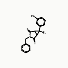 CCC1(c2cccc(Br)c2)C2C(=O)N(Cc3ccccc3)C(=O)C21